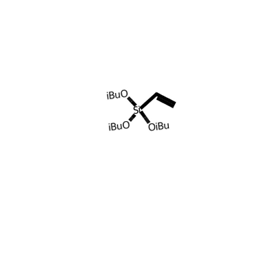 C=C[Si](OCC(C)C)(OCC(C)C)OCC(C)C